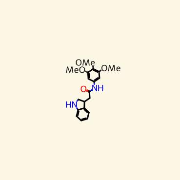 COc1cc(NC(=O)CC2CNc3ccccc32)cc(OC)c1OC